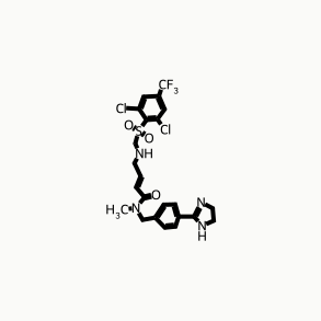 CN(Cc1ccc(C2=NCCN2)cc1)C(=O)/C=C/CNCS(=O)(=O)c1c(Cl)cc(C(F)(F)F)cc1Cl